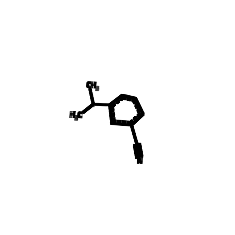 C[C](C)c1cccc(C#N)c1